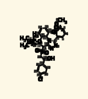 COc1cccc(-c2nnc(C(CC[Si](C)(C)C)S(=O)(=O)C[C@H](O)c3ccc(Cl)cc3)n2-c2c(OC)cccc2OC)n1